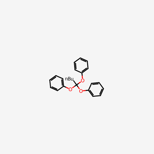 [CH2]CCCC(Oc1ccccc1)(Oc1ccccc1)Oc1ccccc1